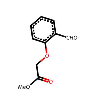 COC(=O)COc1ccccc1[C]=O